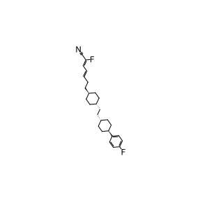 N#C/C(F)=C/C=C/CC[C@H]1CC[C@H](CC[C@H]2CC[C@H](c3ccc(F)cc3)CC2)CC1